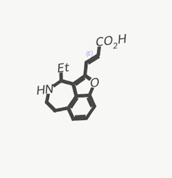 CCC1NCCc2cccc3oc(/C=C/C(=O)O)c1c23